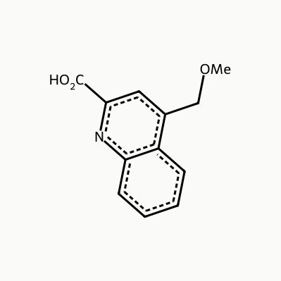 COCc1cc(C(=O)O)nc2ccccc12